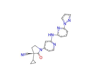 N#C[C@@]1(C2CC2)CCN(c2ccnc(Nc3cccc(-n4cccn4)n3)c2)C1=O